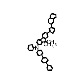 CC1(C)c2cc(-c3cccc(-c4ccc5ccccc5c4)c3)ccc2-c2ccc(N(c3ccccc3)c3ccc(-c4ccc(-c5ccccc5)cc4)cc3)cc21